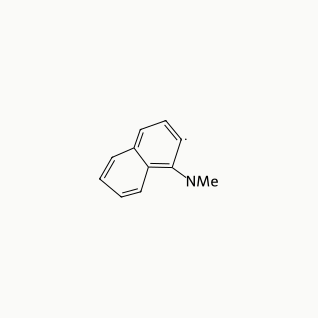 CNc1[c]ccc2ccccc12